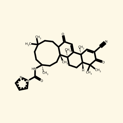 CC1(C)CCC2C(=O)C=C3[C@@]4(C)C=C(C#N)C(=O)C(C)(C)[C@@H]4CC[C@@]3(C)[C@]2(C)CC[C@@](C)(NC(=O)n2cccn2)CC1